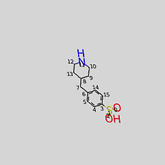 O=S(O)c1ccc(CC2CCNCC2)cc1